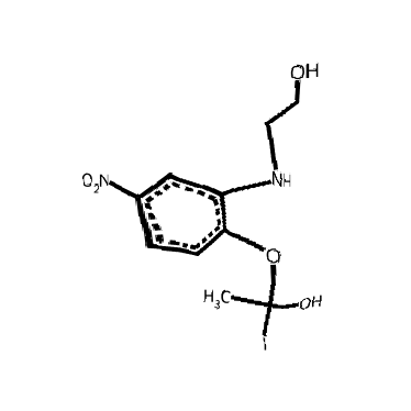 CC(O)(I)Oc1ccc([N+](=O)[O-])cc1NCCO